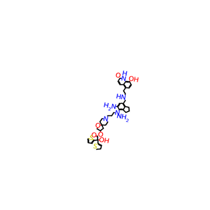 Nc1cc(CNCCc2ccc(O)c3[nH]c(=O)ccc23)c2c(c1N(N)CCCN1CCC3(CC1)CC(OC(=O)C(O)(C1=CCCS1)c1cccs1)CO3)CCC2